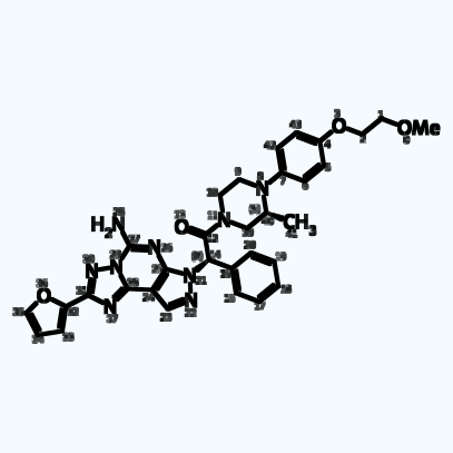 COCCOc1ccc(N2CCN(C(=O)[C@@H](c3ccccc3)n3ncc4c3nc(N)n3nc(-c5ccco5)nc43)C[C@@H]2C)cc1